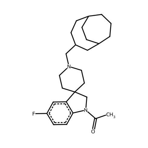 CC(=O)N1CC2(CCN(CC3CCC4CCCC(CC4)C3)CC2)c2cc(F)ccc21